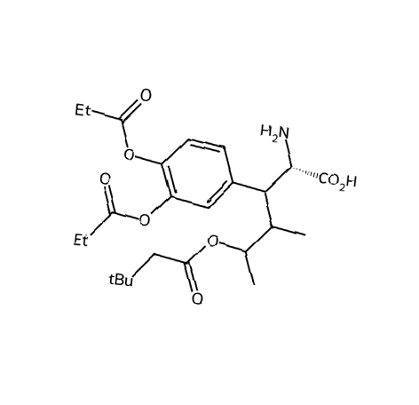 CCC(=O)Oc1ccc(C(C(C)C(C)OC(=O)CC(C)(C)C)[C@H](N)C(=O)O)cc1OC(=O)CC